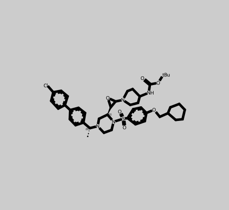 C[C@H](c1ccc(-c2ccc(Cl)cc2)cc1)N1CCN(S(=O)(=O)c2ccc(OCC3CCCCC3)cc2)[C@H](C2OC2N2CCC(NC(=O)OC(C)(C)C)CC2)C1